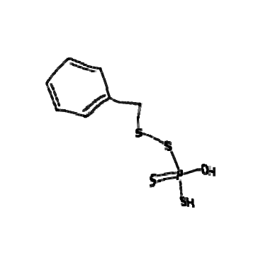 OP(=S)(S)SSCc1ccccc1